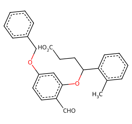 Cc1ccccc1C(CCC(=O)O)Oc1cc(OCc2ccccc2)ccc1C=O